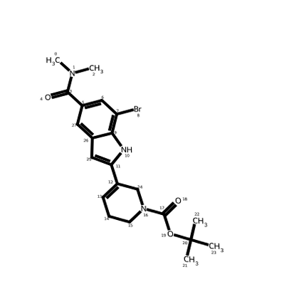 CN(C)C(=O)c1cc(Br)c2[nH]c(C3=CCCN(C(=O)OC(C)(C)C)C3)cc2c1